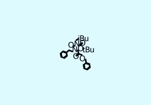 CCC(C)CN(C(=O)OC(C)(C)C)C(=O)N(CCc1ccccc1)CC(=O)COCc1ccccc1